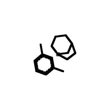 C1CC2CCN(C1)C2.Cc1cccc(C)c1